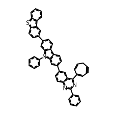 C1#CCC=CC(c2nc(-c3ccccc3)nc3ccc(-c4ccc5c6ccc(-c7ccc8sc9ccccc9c8c7)cc6n(-c6ccccc6)c5c4)cc23)=C1